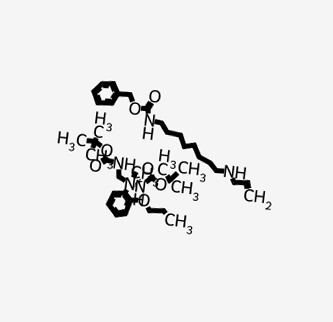 C=CCNCCCCCCCCNC(=O)OCc1ccccc1.CCCOc1ccccc1[N+](C)(CNC(=O)OC(C)(C)C)NC(=O)OC(C)(C)C